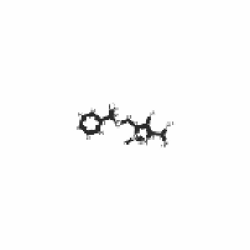 Cn1nc(C(F)F)c(I)c1COC(=O)c1ccccc1